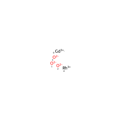 [Gd+3].[O-2].[O-2].[O-2].[Rh+3]